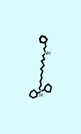 C[PH](CCCCCCCCCCCNCCc1ccccc1)(C1CCCCC1)C1CCCCC1